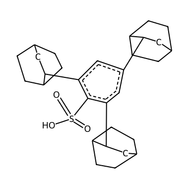 O=S(=O)(O)c1c(C2CC3CCC2CC3)cc(C2CC3CCC2CC3)cc1C1CC2CCC1CC2